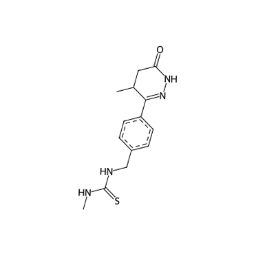 CNC(=S)NCc1ccc(C2=NNC(=O)CC2C)cc1